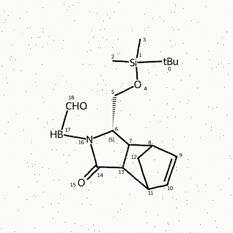 CC(C)(C)[Si](C)(C)OC[C@@H]1C2C3C=CC(C3)C2C(=O)N1BC=O